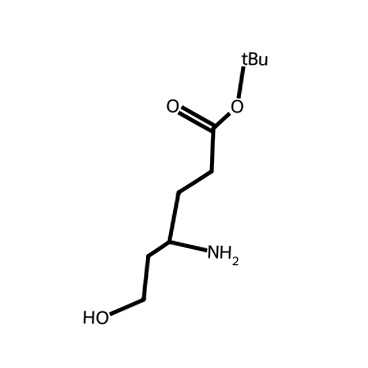 CC(C)(C)OC(=O)CCC(N)CCO